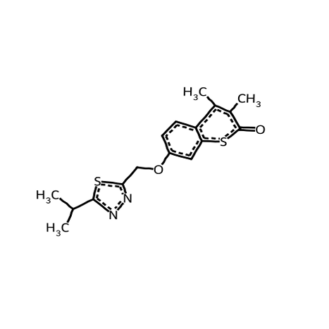 Cc1c(C)c2ccc(OCc3nnc(C(C)C)s3)cc2sc1=O